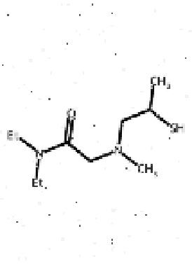 CCN(CC)C(=O)CN(C)CC(C)S